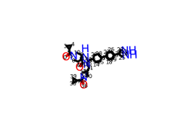 O=C(C1CC1)N1CCC2(CC1)NC(C1C=CC(c3ccc(C4=CNNC4)cc3)=CC1)N(CC1CN(C(=O)C3CC3)C1)C2=O